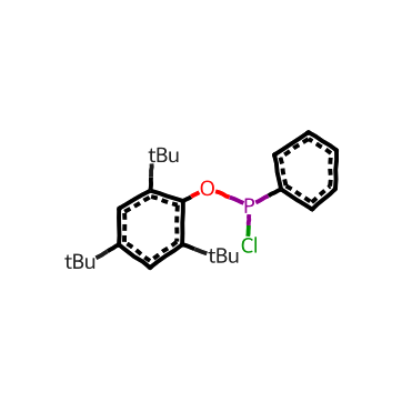 CC(C)(C)c1cc(C(C)(C)C)c(OP(Cl)c2ccccc2)c(C(C)(C)C)c1